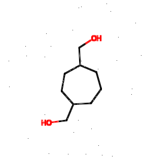 OCC1CCCC(CO)CC1